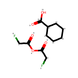 O=C(CF)OC(=O)CF.O=C(O)C1CCCCC1